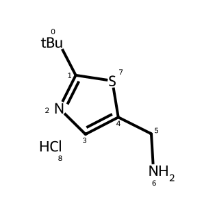 CC(C)(C)c1ncc(CN)s1.Cl